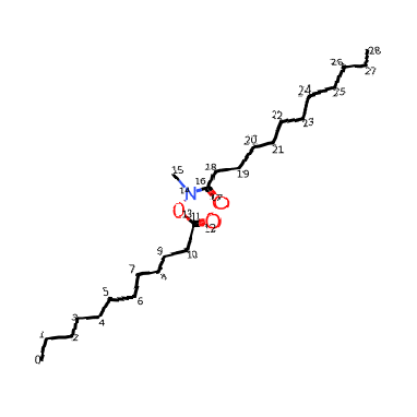 CCCCCCCCCCCC(=O)ON(C)C(=O)CCCCCCCCCCC